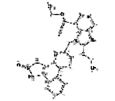 CCOC(=O)c1cccc2nc(OCC)n(Cc3ccc(-c4ccccc4C4=NOS(=O)N4)cc3)c12